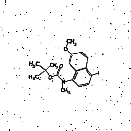 COc1ccc2c(I)ccc(N(C)C(=O)OC(C)(C)C)c2c1